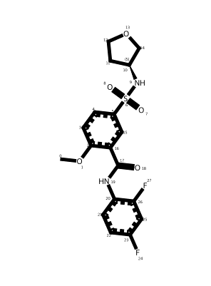 COc1ccc(S(=O)(=O)N[C@H]2CCOC2)cc1C(=O)Nc1ccc(F)cc1F